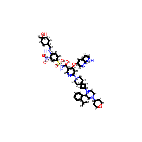 CC(C)c1ccccc1C1CN(C2CCOCC2)CCN1C1CC2(CCN(c3cc(Oc4cnc5[nH]ccc5c4)c(C(=O)NS(=O)(=O)c4ccc(NCC5CCC(C)(O)CC5)c([N+](=O)[O-])c4)cn3)CC2)C1